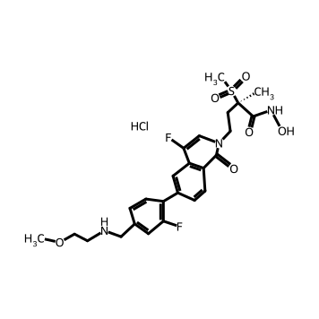 COCCNCc1ccc(-c2ccc3c(=O)n(CC[C@](C)(C(=O)NO)S(C)(=O)=O)cc(F)c3c2)c(F)c1.Cl